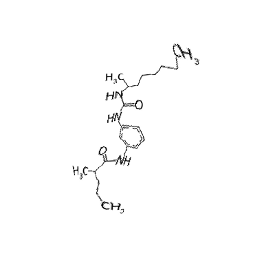 CCCCCCC(C)NC(=O)Nc1cccc(NC(=O)C(C)CCC)c1